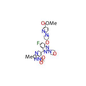 COC(=O)c1ccc(N2CCC(Oc3cc(F)cc4c(-c5cnc(OC)c(NS(C)(=O)=O)c5)nc(N5CCOCC5)nc34)CC2)nc1